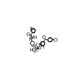 CC(C)(Oc1ccc(C(=O)c2ccc(Cl)cc2)cc1)C(=O)N1CCC(=NNC(=O)c2cccnc2)CC1